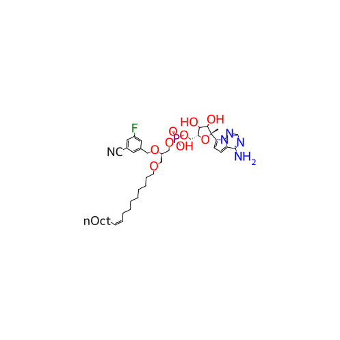 CCCCCCCC/C=C\CCCCCCCCOC[C@H](COP(=O)(O)OC[C@H]1O[C@@](C)(c2ccc3c(N)ncnn23)[C@H](O)[C@@H]1O)OCc1cc(F)cc(C#N)c1